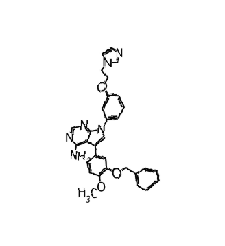 COc1ccc(-c2cn(-c3cccc(OCCn4ccnc4)c3)c3ncnc(N)c23)cc1OCc1ccccc1